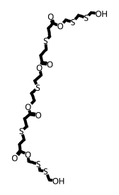 O=C(CCSCCC(=O)OCSCSCO)OCCSCCOC(=O)CCSCCC(=O)OCSCSCO